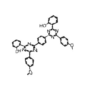 COc1ccc(-c2nc(-c3ccc(-c4nc(-c5ccc(OC)cc5)nc(-c5ccccc5O)n4)cc3)nc(-c3ccccc3O)n2)cc1